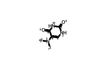 O=c1[nH]cc(N(F)I)c(=O)[nH]1